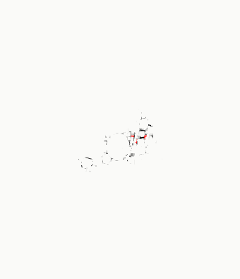 CC(C)[Si](O)(O[Si](O[C@H]1[C@H]2OP(=O)(S)OC[C@H]3C[C@@H](Oc4ccncn4)C[C@@H]3OP(=O)(S)OC[C@H]1O[C@H]2n1ccc2c(=O)[nH]c(N)nc21)(C(C)C)C(C)C)C(C)C